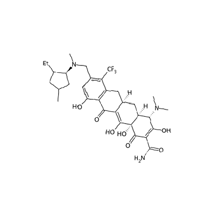 CCC1CC(C)C[C@@H]1N(C)Cc1cc(O)c2c(c1C(F)(F)F)C[C@H]1C[C@H]3[C@H](N(C)C)C(O)=C(C(N)=O)C(=O)[C@@]3(O)C(O)=C1C2=O